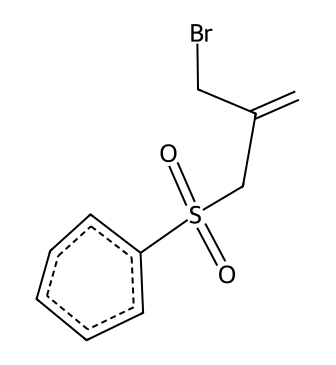 C=C(CBr)CS(=O)(=O)c1ccccc1